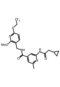 COc1nc(OCC(F)(F)F)ccc1CNC(=O)c1cc(C)nc(NC(=O)CC2CC2)c1